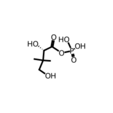 CC(C)(CO)[C@H](O)C(=O)OP(=O)(O)O